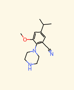 COc1cc(C(C)C)cc(C#N)c1N1CCNCC1